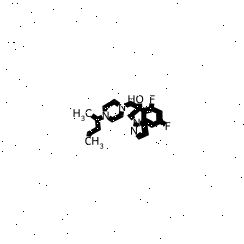 CCCC(C)N1CCN(CC(O)(Cn2cccn2)c2ccc(F)cc2F)CC1